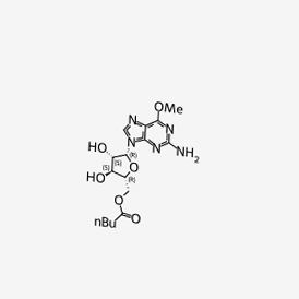 CCCCC(=O)OC[C@H]1O[C@@H](n2cnc3c(OC)nc(N)nc32)[C@@H](O)[C@@H]1O